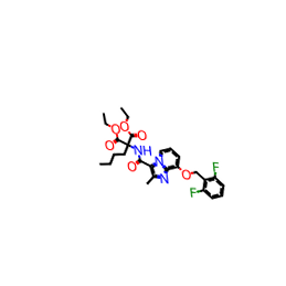 CCCCC(NC(=O)c1c(C)nc2c(OCc3c(F)cccc3F)cccn12)(C(=O)OCC)C(=O)OCC